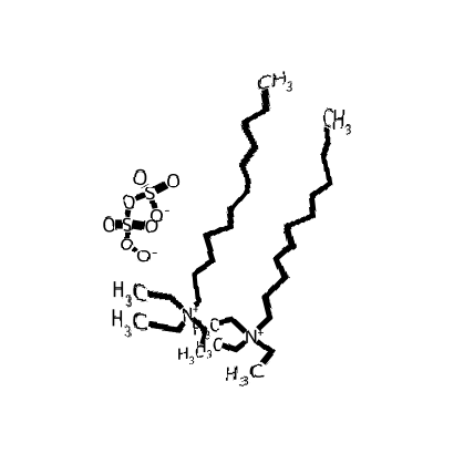 CCCCCCCCCCCC[N+](CC)(CC)CC.CCCCCCCCCCCC[N+](CC)(CC)CC.O=S(=O)([O-])OS(=O)(=O)O[O-]